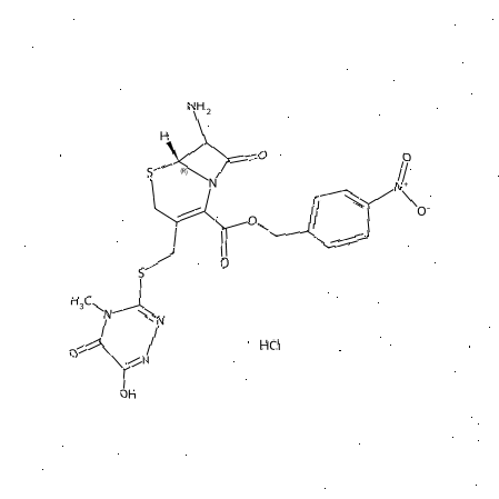 Cl.Cn1c(SCC2=C(C(=O)OCc3ccc([N+](=O)[O-])cc3)N3C(=O)C(N)[C@H]3SC2)nnc(O)c1=O